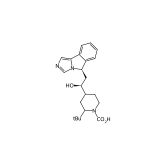 CC(C)(C)C1CC([C@@H](O)C[C@@H]2c3ccccc3-c3cncn32)CCN1C(=O)O